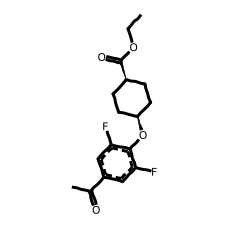 CCOC(=O)[C@H]1CC[C@@H](Oc2c(F)cc(C(C)=O)cc2F)CC1